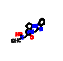 O=CN(O)CC(CC1CCCC1)C(=O)NCc1nc2ccccc2[nH]1